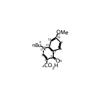 CCCCn1cc(C(=O)O)c(=O)c2ccc(OC)cc21